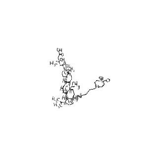 C=C(C)[C@@H]1CC[C@]2(CNCCCN3CCS(=O)(=O)CC3)CC[C@]3(C)[C@H](CC[C@@H]4[C@@]5(C)CCN(C(=O)CC(C)(C)CC(=O)O)C(C)(C)[C@@H]5CC[C@]43C)[C@@H]12